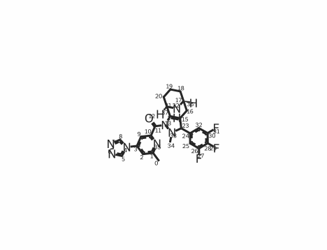 Cc1cc(-n2cnnc2)cc(C(=O)N2C3=C(C[C@H]4CCC[C@@H]3N4)C(c3cc(F)c(F)c(F)c3)N2C)n1